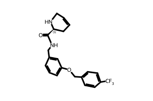 O=C(NCc1cccc(OCc2ccc(C(F)(F)F)cc2)c1)[C@@H]1CC=CCN1